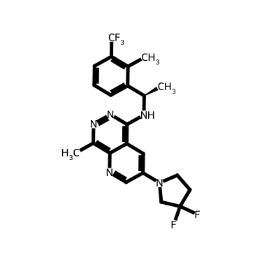 Cc1c([C@@H](C)Nc2nnc(C)c3ncc(N4CCC(F)(F)C4)cc23)cccc1C(F)(F)F